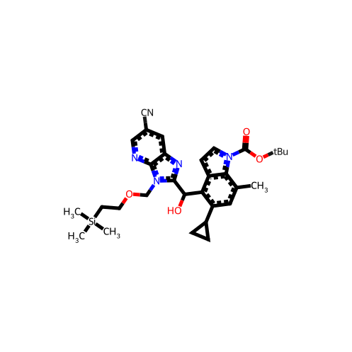 Cc1cc(C2CC2)c(C(O)c2nc3cc(C#N)cnc3n2COCC[Si](C)(C)C)c2ccn(C(=O)OC(C)(C)C)c12